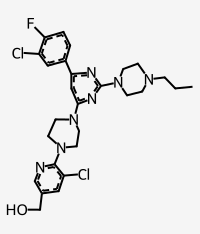 CCCN1CCN(c2nc(-c3ccc(F)c(Cl)c3)cc(N3CCN(c4ncc(CO)cc4Cl)CC3)n2)CC1